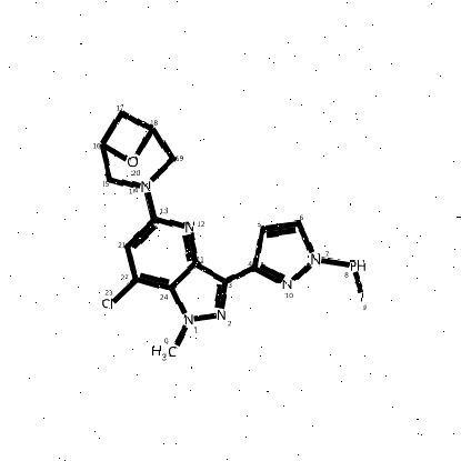 Cn1nc(-c2ccn(PI)n2)c2nc(N3CC4CC(C3)O4)cc(Cl)c21